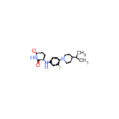 CC(C)C1CCN(c2ccc(NC3CCC(=O)NC3=O)cc2F)CC1